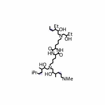 C/C=C\C(CC)C(O)CN(CCCCC1NC(=O)C(CCCCN(CC(O)C(C)/C=C\CNC)CC(O)C(C)/C=C\C(C)C)NC1=O)CC(O)CC